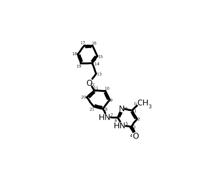 Cc1cc(=O)[nH]c(Nc2ccc(OCc3ccccc3)cc2)n1